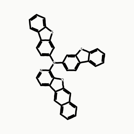 c1ccc2cc3c(cc2c1)oc1c(N(c2ccc4c(c2)sc2ccccc24)c2ccc4c(c2)sc2ccccc24)nccc13